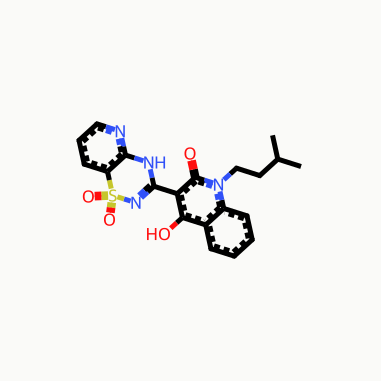 CC(C)CCn1c(=O)c(C2=NS(=O)(=O)c3cccnc3N2)c(O)c2ccccc21